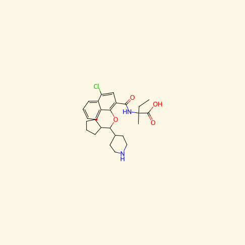 CCC(C)(NC(=O)c1cc(Cl)c2ccccc2c1OC(C1CCCC1)C1CCNCC1)C(=O)O